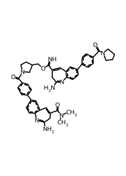 CN(C)C(=O)C1=Cc2cc(-c3ccc(C(=O)N4CCC(COC(=N)C5=Cc6cc(-c7ccc(C(=O)N8CCCC8)cc7)ccc6N=C(N)C5)C4)cc3)ccc2N=C(N)C1